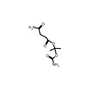 CC(C)(OC(N)=O)OC(=O)CCC(N)=O